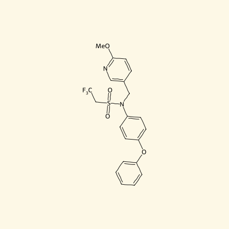 COc1ccc(CN(c2ccc(Oc3ccccc3)cc2)S(=O)(=O)CC(F)(F)F)cn1